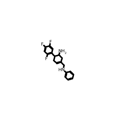 NC1CC(CNc2ccccc2)=CCC1c1cc(F)c(F)cc1F